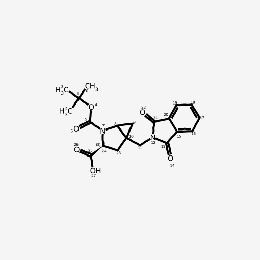 CC(C)(C)OC(=O)N1C2CC2(CN2C(=O)c3ccccc3C2=O)C[C@H]1C(=O)O